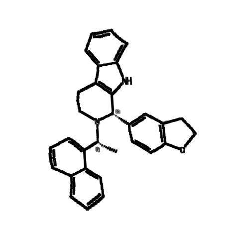 C[C@H](c1cccc2ccccc12)N1CCc2c([nH]c3ccccc23)[C@@H]1c1ccc2c(c1)CCO2